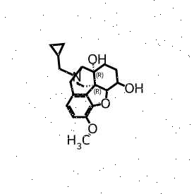 COc1ccc2c3c1OC1C(O)CC[C@]4(O)C(C2)N(CC2CC2)CC[C@@]314